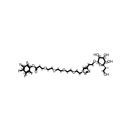 O=C(CCOCCOCCOCCOCCn1cc(CCO[C@H]2O[C@H](CCO)[C@@H](O)[C@H](O)[C@@H]2O)nn1)Oc1c(F)c(F)c(F)c(F)c1F